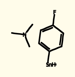 CN(C)C.Fc1cc[c]([SnH])cc1